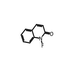 O=c1ccc2ccccc2n1F